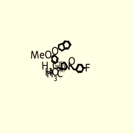 COc1ccc([C@@H]2CN(C(=O)Cc3ccc(F)cc3)C[C@@]2(C)[C@@H](C)O)cc1OC1Cc2ccccc2C1